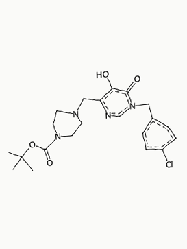 CC(C)(C)OC(=O)N1CCN(Cc2ncn(Cc3ccc(Cl)cc3)c(=O)c2O)CC1